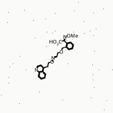 CO/N=C(/C(=O)O)c1ccccc1COC/C=N/OCCc1ccnc2ccccc12